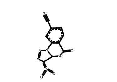 N#Cc1ccc2c(c1)N1N=NC(=S(=O)=O)C1NC2=O